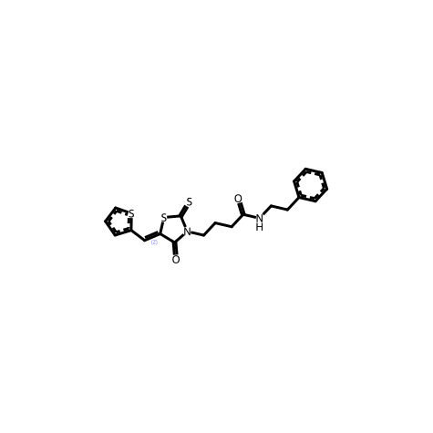 O=C(CCCN1C(=O)/C(=C/c2cccs2)SC1=S)NCCc1ccccc1